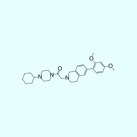 COc1ccc(-c2ccc3c(c2)CCN(CC(=O)N2CCN(C4CCCCC4)CC2)C3)c(OC)c1